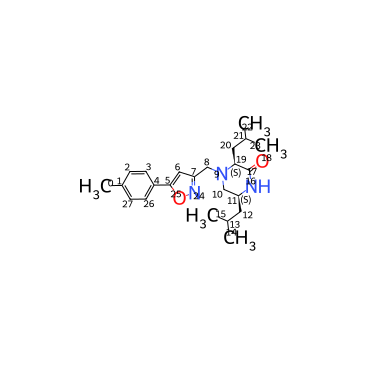 Cc1ccc(-c2cc(CN3C[C@H](CC(C)C)NC(=O)[C@@H]3CC(C)C)no2)cc1